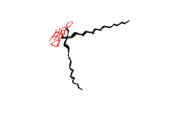 CCCCCCCCCCC=CC(C=CCCCCCCCCCCCC)(CC(=O)O)C(=O)O